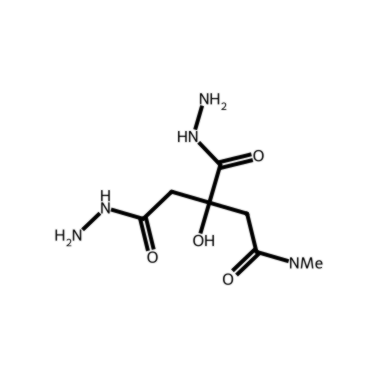 CNC(=O)CC(O)(CC(=O)NN)C(=O)NN